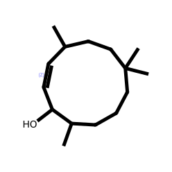 CC1/C=C\C(O)C(C)CCCC(C)(C)CC1